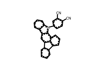 N#Cc1ccc(-n2c3ccccc3c3cc4c5c(cccc5c32)-c2ccccc2-4)cc1C#N